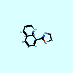 c1cnc2c(C3=NCCO3)cccc2c1